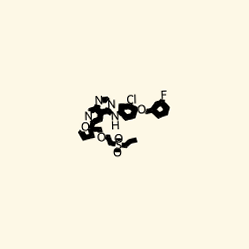 CCCS(=O)(=O)CCOCC1(c2cc3c(Nc4ccc(OCc5cccc(F)c5)c(Cl)c4)ncnc3cn2)CC=CO1